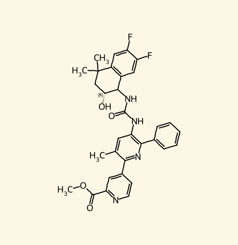 COC(=O)c1cc(-c2nc(-c3ccccc3)c(NC(=O)NC3c4cc(F)c(F)cc4C(C)(C)C[C@H]3O)cc2C)ccn1